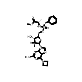 COC(=O)[C@H](C)NP(=O)(OC[C@H]1O[C@@H](N2C=NC3C(N4CCC4)=NC(N)=NC32)[C@](C)(F)[C@@H]1O)Oc1ccccc1